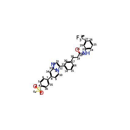 CS(=O)(=O)c1ccc(-c2ccn3c(-c4cccc(CCC(=O)Nc5cccc(C(F)(F)F)c5)c4)cnc3c2)cc1